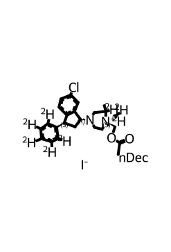 [2H]c1c([2H])c([2H])c([C@@H]2C[C@@H](N3CC[N@@+](COC(=O)CCCCCCCCCCC)(C([2H])([2H])[2H])C(C)(C)C3)c3cc(Cl)ccc32)c([2H])c1[2H].[I-]